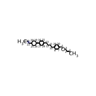 CC=CCOCc1ccc(CCCCc2ccc(C3CCC(/C=C/C)CC3)cc2)cc1